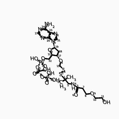 CC(C)(CNC(=O)CCOCCO)SSCO[C@@H]1C[C@H](n2cnc3c(N)ncnc32)OC1COP(=O)(O)OP(=O)(O)OP(=O)(O)O